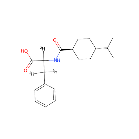 [2H]C(NC(=O)[C@H]1CC[C@H](C(C)C)CC1)(C(=O)O)C([2H])([2H])c1ccccc1